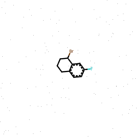 Fc1ccc2c(c1)C(Br)CCC2